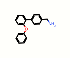 NCc1ccc(-c2cc[c]cc2Oc2ccccc2)cc1